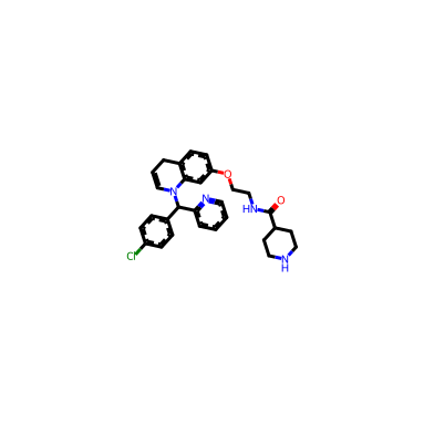 O=C(NCCOc1ccc2c(c1)N(C(c1ccc(Cl)cc1)c1ccccn1)C=CC2)C1CCNCC1